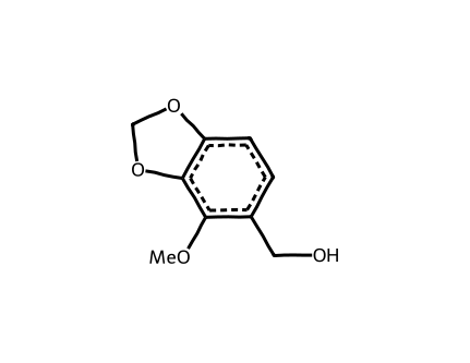 COc1c(CO)ccc2c1OCO2